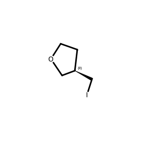 IC[C@@H]1CCOC1